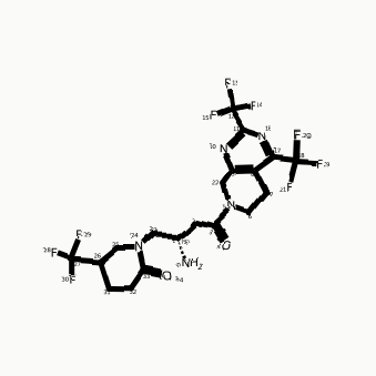 N[C@@H](CC(=O)N1CCc2c(nc(C(F)(F)F)nc2C(F)(F)F)C1)CN1CC(C(F)(F)F)CCC1=O